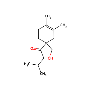 CC1=C(C)CC(CO)(C(=O)CC(C)C)CC1